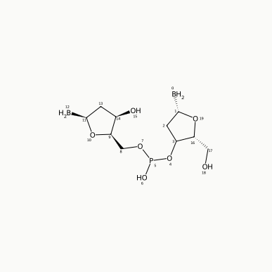 B[C@H]1CC(OP(O)OC[C@H]2O[C@@H](B)C[C@H]2O)[C@@H](CO)O1